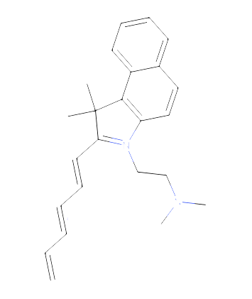 C=C/C=C/C=C/C1=[N+](CCN(C)C)c2ccc3ccccc3c2C1(C)C